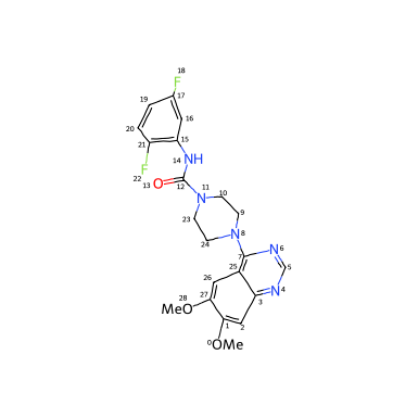 COc1cc2ncnc(N3CCN(C(=O)Nc4cc(F)ccc4F)CC3)c2cc1OC